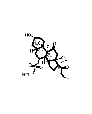 C[C@]12CC[C@@H](O)C[C@H]1CC[C@@H]1[C@@H]2C(=O)C[C@@]2(C)[C@H]1CC[C@]2(O)C(=O)CO.Cl.O=S(=O)(Cl)Cl